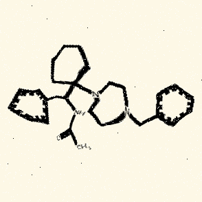 CC(=O)NC(c1ccccc1)C1(N2CCN(Cc3ccccc3)CC2)CCCCC1